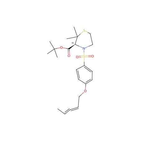 CC=C=CCOc1ccc(S(=O)(=O)N2CCSC(C)(C)[C@@H]2C(=O)OC(C)(C)C)cc1